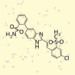 CS(=O)(=O)c1cc(Cl)ccc1C=Cc1nc2cc(-c3ccccc3S(N)(=O)=O)ccc2[nH]1